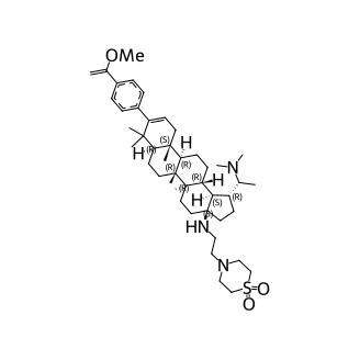 C=C(OC)c1ccc(C2=CC[C@]3(C)[C@H]4CC[C@@H]5[C@H]6[C@H](C(C)N(C)C)CC[C@]6(NCCN6CCS(=O)(=O)CC6)CC[C@@]5(C)[C@]4(C)CC[C@H]3C2(C)C)cc1